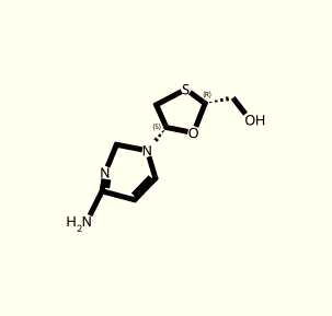 NC1=NCN([C@@H]2CS[C@H](CO)O2)C=C1